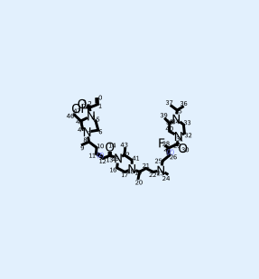 C=CC(=O)N1CCN(C(C)C/C=C\C(=O)N2CCN(C(C)CCN(C)C/C=C(\F)C(=O)N3CCN(C(C)C)C(C)C3)CC2C)CC1CO